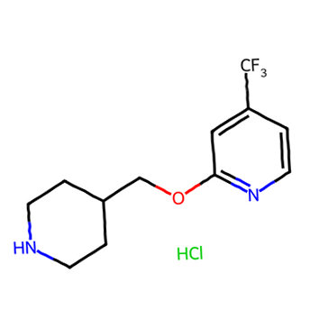 Cl.FC(F)(F)c1ccnc(OCC2CCNCC2)c1